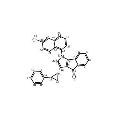 O=C1c2ccccc2-c2c1c([C@@H]1C[C@H]1c1ccccc1)nn2-c1ccnc2cc(Cl)ccc12